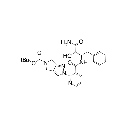 CC(C)(C)OC(=O)N1Cc2cn(-c3ncccc3C(=O)NC(Cc3ccccc3)C(O)C(N)=O)nc2C1